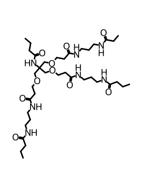 CCCC(=O)NCCCNC(=O)CCOCC(COCCC(=O)NCCCNC(=O)CC)(COCCC(=O)NCCCNC(=O)CCC)NC(=O)CCC